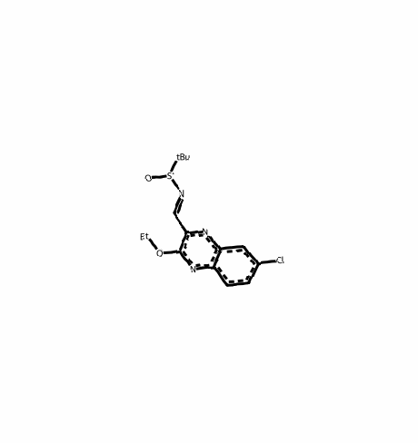 CCOc1nc2ccc(Cl)cc2nc1C=N[S+]([O-])C(C)(C)C